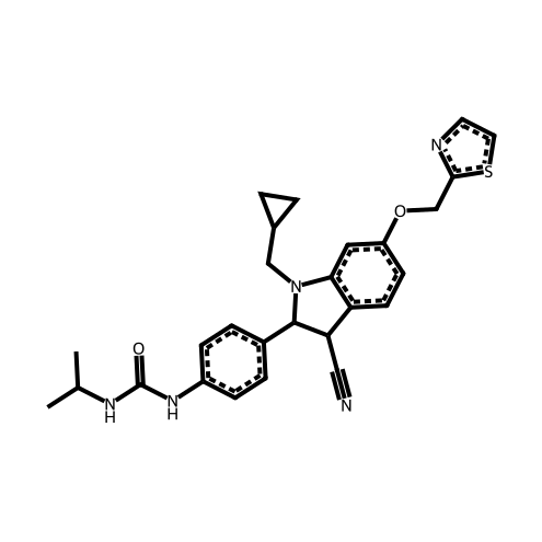 CC(C)NC(=O)Nc1ccc(C2C(C#N)c3ccc(OCc4nccs4)cc3N2CC2CC2)cc1